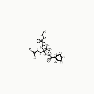 CCCC(=O)OCC(CCC(C)C)(COC(=O)c1ccccc1)C(C)C